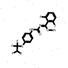 CC(C)O/C(=N\C(=O)Nc1ccc(SC(F)(F)C(F)F)cc1)c1c(F)cccc1F